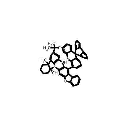 CC(C)(C)c1cc2c3c(c1)C1(C)CCCCC1(C)N3c1cc3oc4ccccc4c3c(-c3cccc4c3Nc3ccccc3C43c4ccccc4-c4ccccc43)c1B2